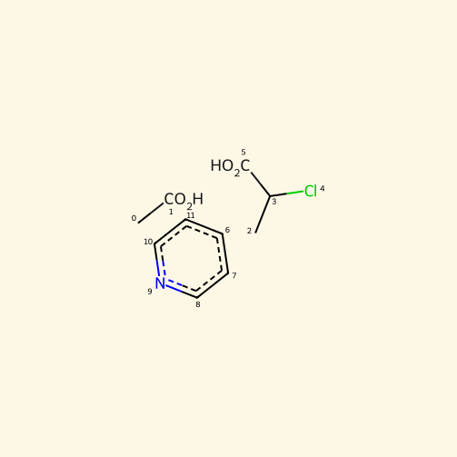 CC(=O)O.CC(Cl)C(=O)O.c1ccncc1